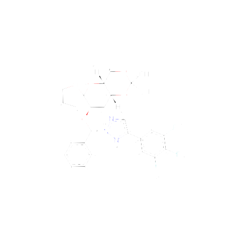 CC1(C)OC[C@H]2O[C@@]3(CCCO3)[C@H](OCc3ccccc3)[C@@H](n3cc(-c4cc(F)c(F)c(F)c4)nn3)[C@H]2O1